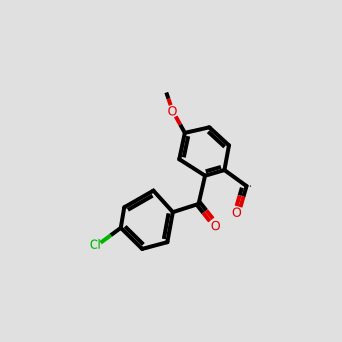 COc1ccc([C]=O)c(C(=O)c2ccc(Cl)cc2)c1